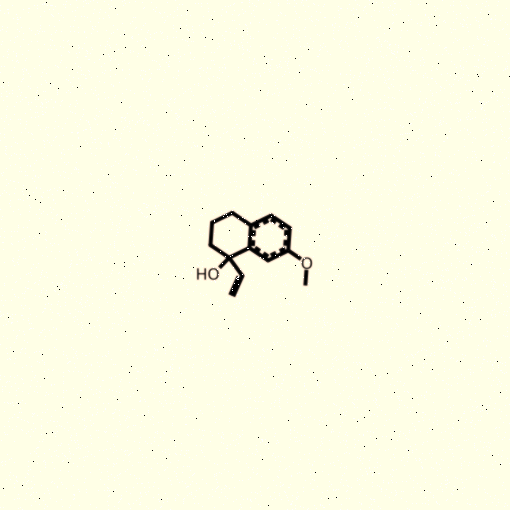 C=CC1(O)CCCc2ccc(OC)cc21